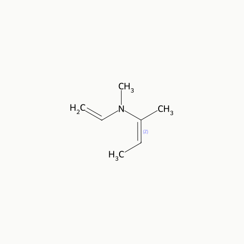 C=CN(C)/C(C)=C\C